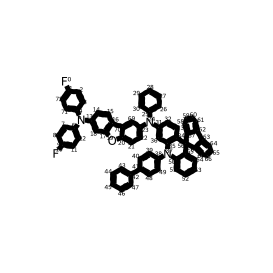 Fc1ccc(N(c2ccc(F)cc2)c2ccc3c(c2)oc2ccc(N(c4ccccc4)c4ccc5c(c4)N(c4ccc(-c6ccccc6)cc4)c4ccccc4C54c5ccccc5-c5ccccc54)cc23)cc1